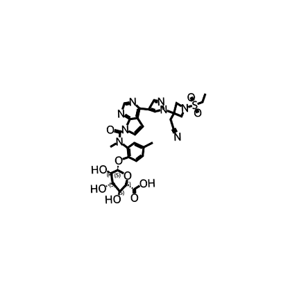 CCS(=O)(=O)N1CC(CC#N)(n2cc(-c3ncnc4c3ccn4C(=O)N(C)c3cc(C)ccc3O[C@@H]3O[C@H](C(=O)O)[C@@H](O)[C@H](O)[C@H]3O)cn2)C1